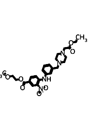 CCOC(=O)CN1CCN(Cc2cccc(Nc3ccc(C(=O)OCCOC)cc3[N+](=O)[O-])c2)CC1